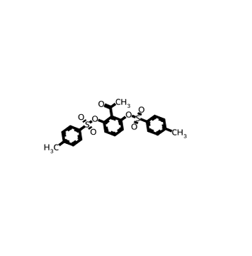 CC(=O)c1c(OS(=O)(=O)c2ccc(C)cc2)cccc1OS(=O)(=O)c1ccc(C)cc1